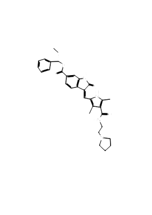 CC[C@H](NC(=O)c1ccc2c(c1)NC(=O)C2=Cc1[nH]c(C)c(C(=O)NCCN2CCCC2)c1C)c1ccccc1